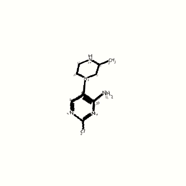 CC1CN(c2cnc(Cl)nc2N)CCN1